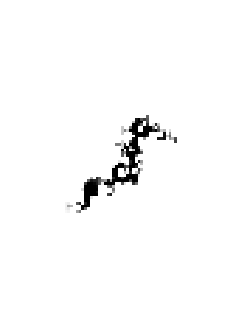 COc1cc(-c2cc(C(=O)N3CC[C@H](C(=O)NC45CCC(CO)(C4)C5)CC34CC4)n[nH]2)c(F)cn1